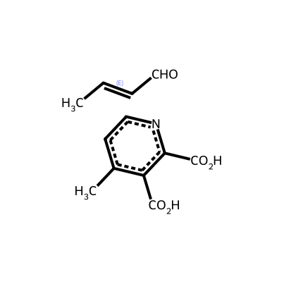 C/C=C/C=O.Cc1ccnc(C(=O)O)c1C(=O)O